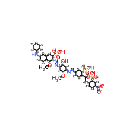 COc1cc(N=Nc2c(S(=O)(=O)O)cc3cc(Nc4ccccc4)ccc3c2OC)c(O)cc1N=Nc1ccc(C=Cc2ccc([N+](=O)[O-])cc2S(=O)(=O)O)c(S(=O)(=O)O)c1